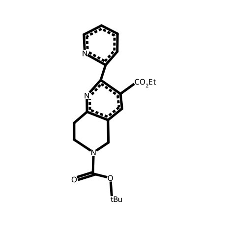 CCOC(=O)c1cc2c(nc1-c1ccccn1)CCN(C(=O)OC(C)(C)C)C2